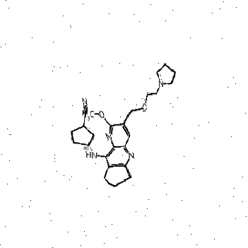 COc1nc2c(N[C@@H]3CCC(C#N)C3)c3c(nc2cc1COCCN1CCCC1)CCC3